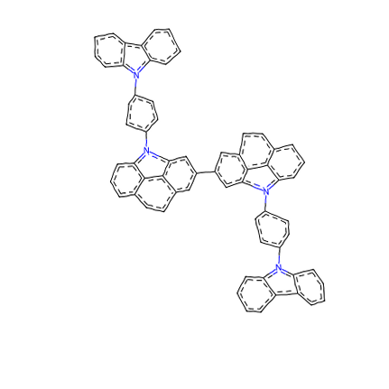 c1ccc2c(c1)c1ccccc1n2-c1ccc(-n2c3cccc4ccc5cc(-c6cc7ccc8cccc9c8c7c(c6)n9-c6ccc(-n7c8ccccc8c8ccccc87)cc6)cc2c5c43)cc1